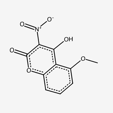 COc1cccc2oc(=O)c([N+](=O)[O-])c(O)c12